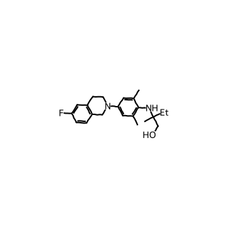 CCC(C)(CO)Nc1c(C)cc(N2CCc3cc(F)ccc3C2)cc1C